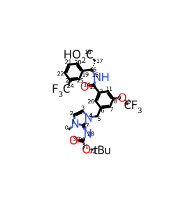 Cn1ccn(Cc2cc(OC(F)(F)F)cc(C(=O)N[C@@H](CC(=O)O)c3cccc(C(F)(F)F)c3)c2)/c1=N/C(=O)OC(C)(C)C